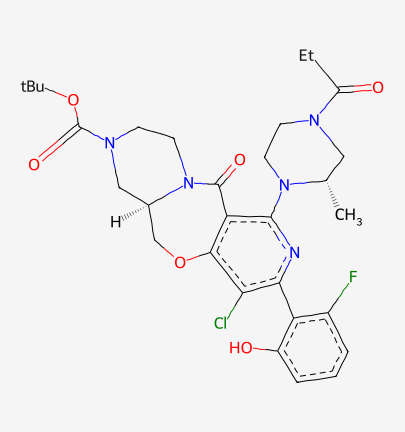 CCC(=O)N1CCN(c2nc(-c3c(O)cccc3F)c(Cl)c3c2C(=O)N2CCN(C(=O)OC(C)(C)C)C[C@@H]2CO3)[C@@H](C)C1